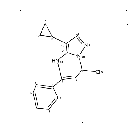 ClC1C=C(c2ccccc2)Nc2c(C3CC3)cnn21